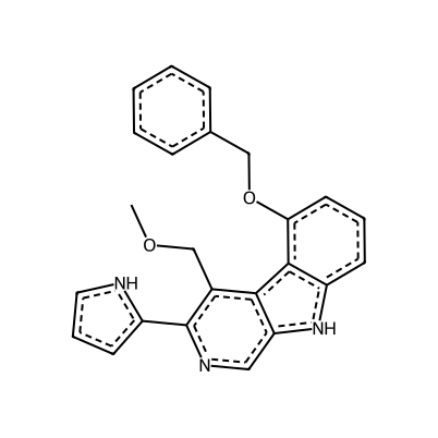 COCc1c(-c2ccc[nH]2)ncc2[nH]c3cccc(OCc4ccccc4)c3c12